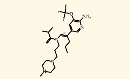 C=C(C(C)C)N(/C=C(\CCC)c1cnc(N)c(OC(F)(F)F)c1)CCCN1CCN(C)CC1